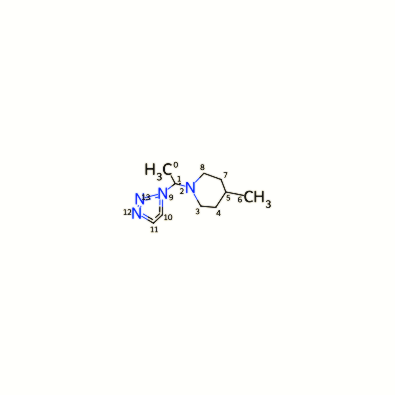 C[C](N1CCC(C)CC1)n1ccnn1